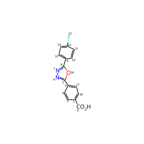 O=C(O)c1ccc(-c2nnc(-c3ccc(F)cc3)o2)cc1